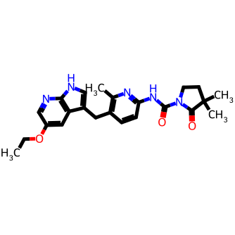 CCOc1cnc2[nH]cc(Cc3ccc(NC(=O)N4CCC(C)(C)C4=O)nc3C)c2c1